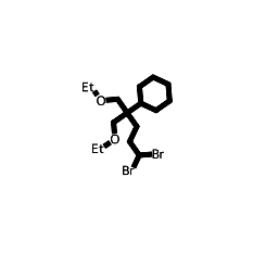 CCOCC(CCC(Br)Br)(COCC)C1CCCCC1